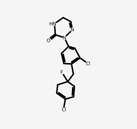 O=C1NCC=NN1c1ccc(CC2(F)C=CC(Cl)=CC2)c(Cl)c1